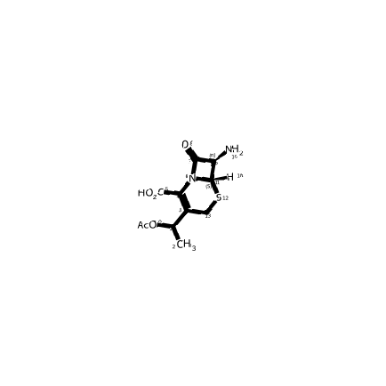 CC(=O)OC(C)C1=C(C(=O)O)N2C(=O)[C@@H](N)[C@@H]2SC1